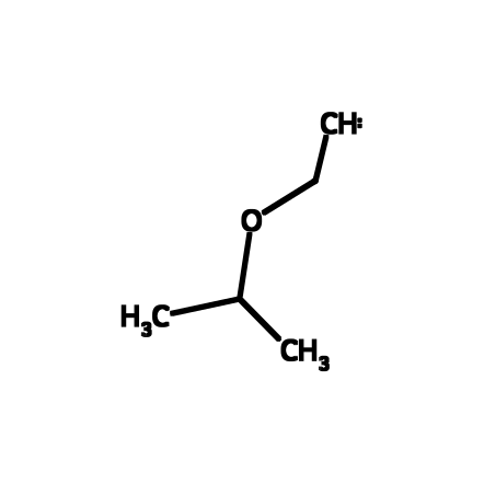 [CH]COC(C)C